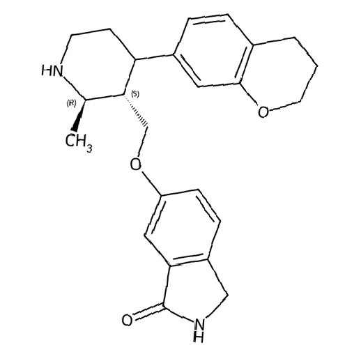 C[C@H]1NCCC(c2ccc3c(c2)OCCC3)[C@@H]1COc1ccc2c(c1)C(=O)NC2